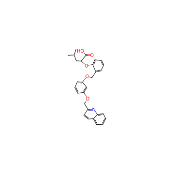 CC(C)CC(Oc1ccccc1COc1cccc(OCc2ccc3ccccc3n2)c1)C(=O)O